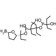 B[C@H]1CC[C@@H](C(C)(CC)OP(O)C(CC)(CC)C(CC)(CC)OP(O)C(O)(CC)CC)O1